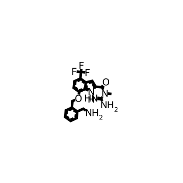 CN(C(=N)N)C(=O)c1cc2c(C(F)(F)F)ccc(OCc3ccccc3CN)c2[nH]1